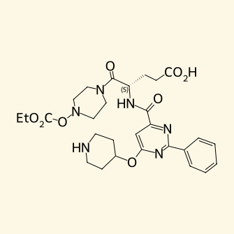 CCOC(=O)ON1CCN(C(=O)[C@H](CCC(=O)O)NC(=O)c2cc(OC3CCNCC3)nc(-c3ccccc3)n2)CC1